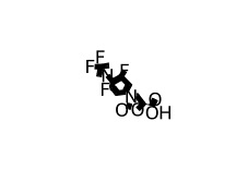 O=C(O)[C@H]1CN(c2cc(F)c(N3CC(F)(F)C3)c(F)c2)C(=O)O1